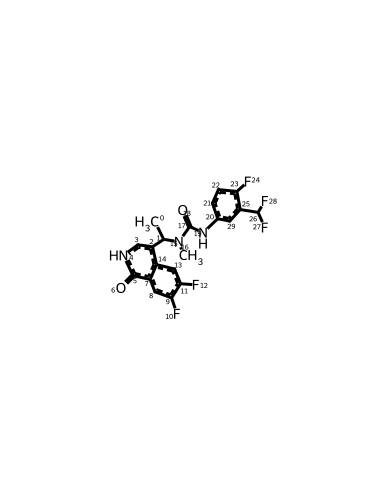 CC(c1c[nH]c(=O)c2cc(F)c(F)cc12)N(C)C(=O)Nc1ccc(F)c(C(F)F)c1